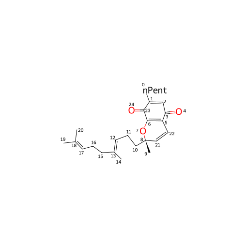 CCCCCC1=CC(=O)C2=C(O[C@@](C)(CC/C=C(\C)CCC=C(C)C)C=C2)C1=O